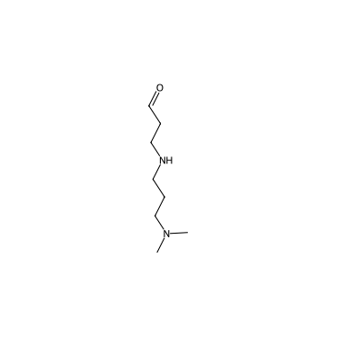 CN(C)CCCNCCC=O